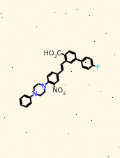 O=C(O)c1ccc(-c2ccc(F)cc2)cc1/C=C/c1ccc(N2CCN(c3ccccc3)CC2)c([N+](=O)[O-])c1